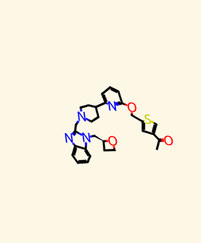 CC(=O)c1csc(COc2cccc(C3CCN(Cc4nc5ccccc5n4C[C@@H]4CCO4)CC3)n2)c1